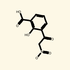 O=C(O)c1cccc(C(=O)C[N+](=O)[O-])c1O